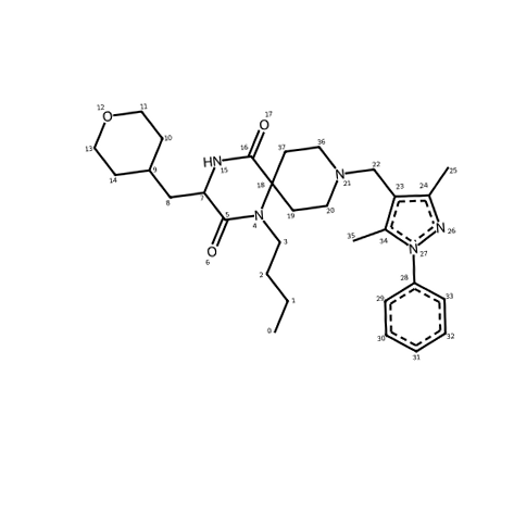 CCCCN1C(=O)C(CC2CCOCC2)NC(=O)C12CCN(Cc1c(C)nn(-c3ccccc3)c1C)CC2